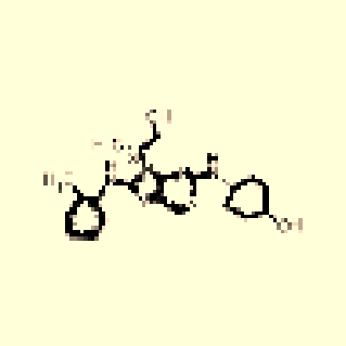 Cc1ccccc1Nc1nc2cnc(N[C@H]3CC[C@H](O)CC3)nc2n1[C@H](C)CO